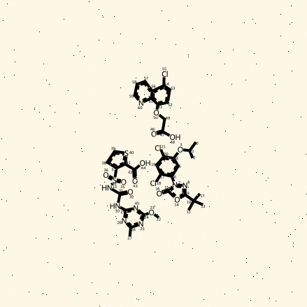 CC(C)Oc1cc(-n2nc(C(C)(C)C)oc2=O)c(Cl)cc1Cl.COc1nc(C)nc(NC(=O)NS(=O)(=O)c2ccsc2C(=O)O)n1.O=C(O)COc1ccc(Cl)c2cccnc12